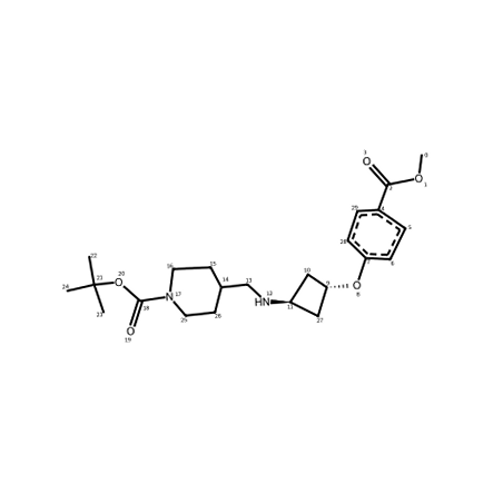 COC(=O)c1ccc(O[C@H]2C[C@H](NCC3CCN(C(=O)OC(C)(C)C)CC3)C2)cc1